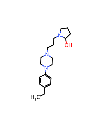 CCc1ccc(N2CCN(CCCN3CCCC3O)CC2)cc1